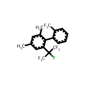 Cc1[c]c(C)c(-c2ccccc2C(F)(F)F)c(C(F)(C(F)(F)F)C(F)(F)F)c1